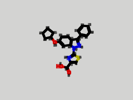 O=C(O)c1csc(-n2nc(-c3ccccc3)c3ccc(OC4CCCC4)cc32)n1